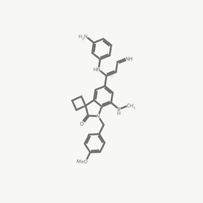 CBc1cc(/C(=C/C=N)Nc2cccc(N)c2)cc2c1N(Cc1ccc(OC)cc1)C(=O)C21CCC1